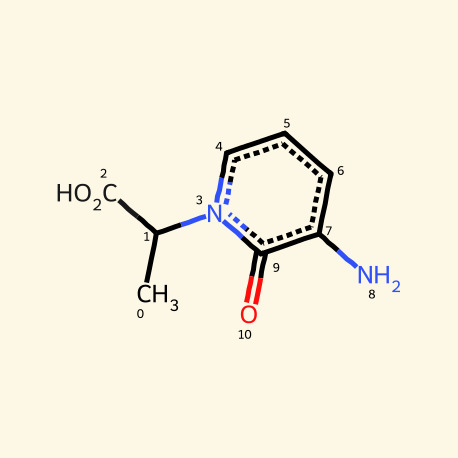 CC(C(=O)O)n1cccc(N)c1=O